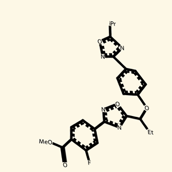 CCC(Oc1ccc(-c2noc(C(C)C)n2)cc1)c1nc(-c2ccc(C(=O)OC)c(F)c2)no1